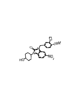 COc1ccc(Cn2c(=O)n(C3CCC(O)CC3)c3ccc([N+](=O)[O-])cc32)cc1Cl